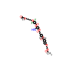 C=CC(=O)OCCCOc1ccc2cc(C(=O)Oc3ccc(/C=C/C(=O)Oc4ccc(OC(=O)c5cc(F)c(OCCCCCCOCC6(CC)COC6)c(F)c5)c(C=N)c4)cc3OC)ccc2c1